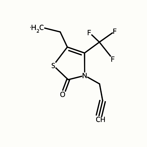 C#CCn1c(C(F)(F)F)c(C[CH2])sc1=O